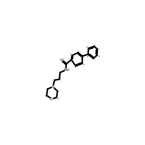 O=C(NCCCN1CCOCC1)c1ccc(-c2ccccc2)cc1